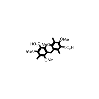 COc1c(C)c(OC)c(C(=O)O)c(C)c1Cc1c(C)c(C(=O)O)c(OC)c(C)c1OC